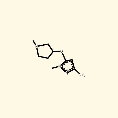 CN1CCC(Oc2cc(C(F)(F)F)nn2C)C1